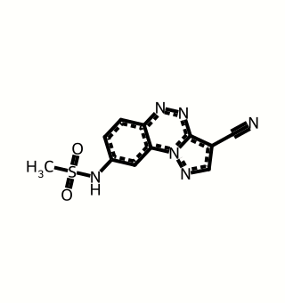 CS(=O)(=O)Nc1ccc2nnc3c(C#N)cnn3c2c1